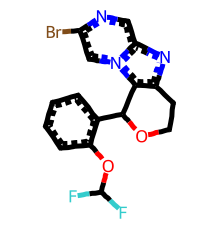 FC(F)Oc1ccccc1C1OCCc2nc3cnc(Br)cn3c21